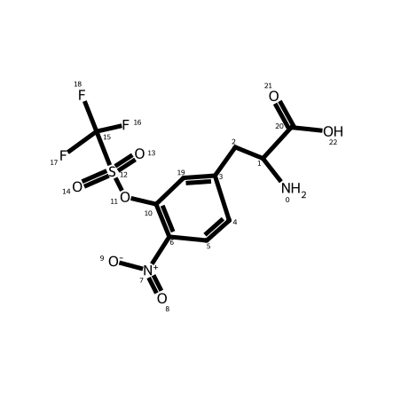 NC(Cc1ccc([N+](=O)[O-])c(OS(=O)(=O)C(F)(F)F)c1)C(=O)O